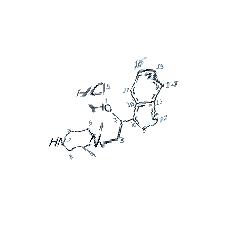 Cl.OC(CN1CCNCC1)c1csc2ccccc12